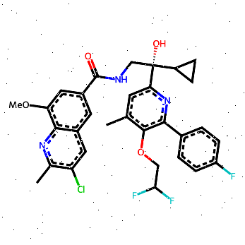 COc1cc(C(=O)NC[C@](O)(c2cc(C)c(OCC(F)F)c(-c3ccc(F)cc3)n2)C2CC2)cc2cc(Cl)c(C)nc12